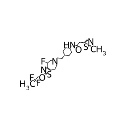 Cc1ncc(CC(=O)N[C@H]2CC[C@H](CCN3CCc4sc(OCC(C)(F)F)nc4C(F)C3)CC2)s1